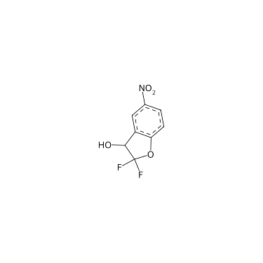 O=[N+]([O-])c1ccc2c(c1)C(O)C(F)(F)O2